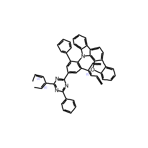 C=C/C=C(\C=C)c1cc(-c2nc(C(/C=C\C)=C/C)nc(-c3ccccc3)n2)cc(-c2ccccc2)c1-n1c2ccccc2c2ccc3c4ccccc4oc3c21